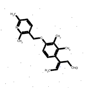 C/C=C(/CC=O)c1ccc(OCc2ccc(C)nc2C)c(C)c1C